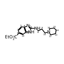 CCOC(=O)c1ccc2nc(NCCCN3CCCCC3)[nH]c2c1